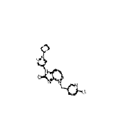 O=c1nc2n(Cc3ccc(Cl)nc3)cccc-2n1-c1cnn(C2CCC2)c1